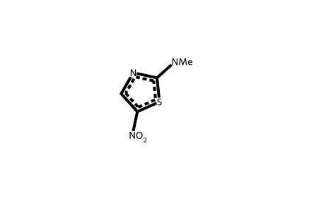 CNc1ncc([N+](=O)[O-])s1